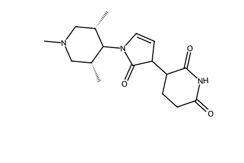 C[C@@H]1CN(C)C[C@H](C)C1N1C=CC(C2CCC(=O)NC2=O)C1=O